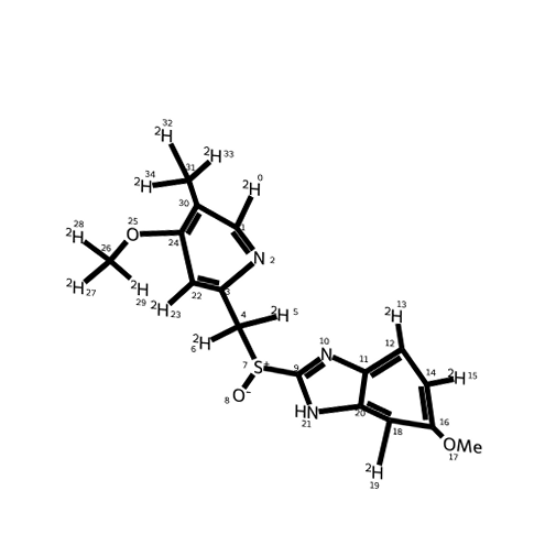 [2H]c1nc(C([2H])([2H])[S+]([O-])c2nc3c([2H])c([2H])c(OC)c([2H])c3[nH]2)c([2H])c(OC([2H])([2H])[2H])c1C([2H])([2H])[2H]